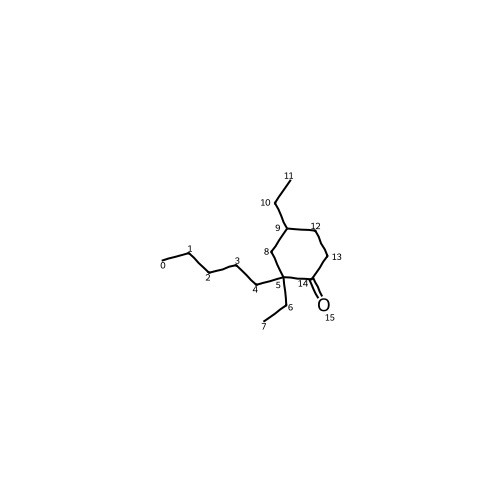 CCCCCC1(CC)CC(CC)CCC1=O